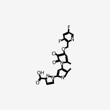 Cc1cnc(-n2ccc(C(=O)O)n2)cc1-n1c(C)cc(OCc2ncc(F)cc2F)c(Cl)c1=O